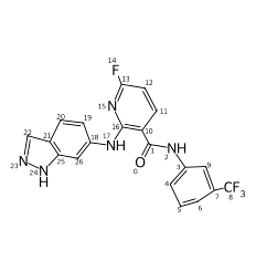 O=C(Nc1cccc(C(F)(F)F)c1)c1ccc(F)nc1Nc1ccc2cn[nH]c2c1